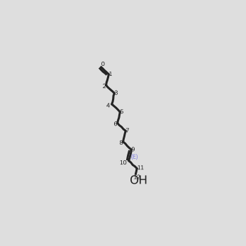 C=CCCCCCCC/C=C/CO